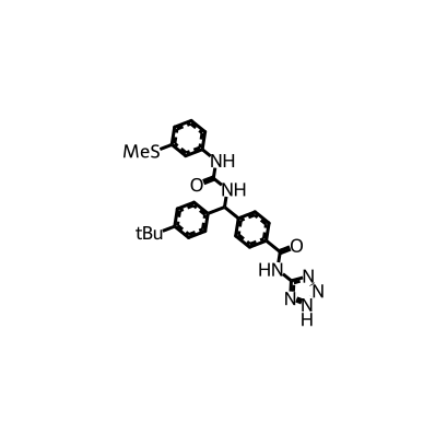 CSc1cccc(NC(=O)NC(c2ccc(C(=O)Nc3nn[nH]n3)cc2)c2ccc(C(C)(C)C)cc2)c1